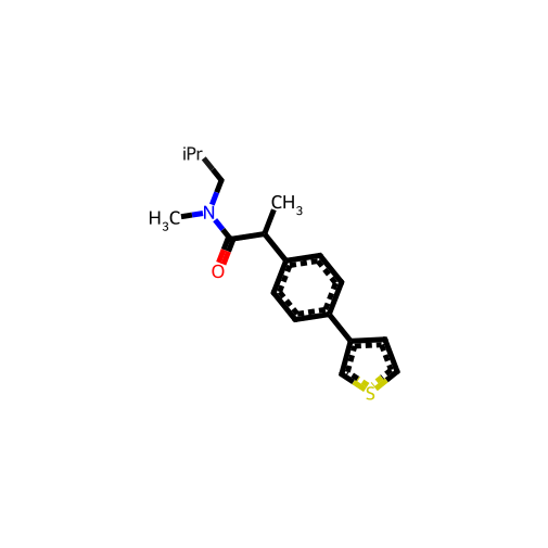 CC(C)CN(C)C(=O)C(C)c1ccc(-c2ccsc2)cc1